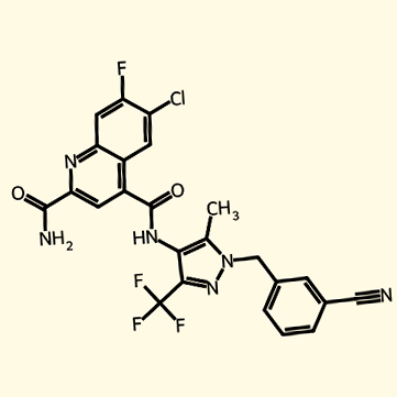 Cc1c(NC(=O)c2cc(C(N)=O)nc3cc(F)c(Cl)cc23)c(C(F)(F)F)nn1Cc1cccc(C#N)c1